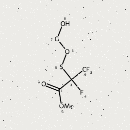 COC(=O)C(F)(SOOO)C(F)(F)F